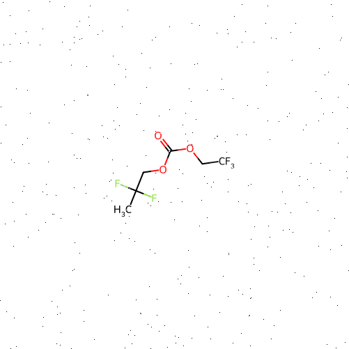 CC(F)(F)COC(=O)OCC(F)(F)F